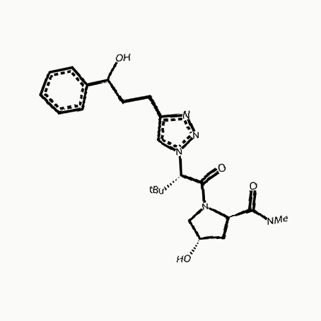 CNC(=O)[C@H]1C[C@H](O)CN1C(=O)[C@@H](n1cc(CCC(O)c2ccccc2)nn1)C(C)(C)C